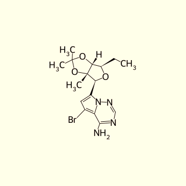 CC[C@H]1O[C@@H](c2cc(Br)c3c(N)ncnn23)[C@]2(C)OC(C)(C)O[C@H]12